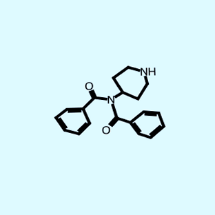 O=C(c1ccccc1)N(C(=O)c1ccccc1)C1CCNCC1